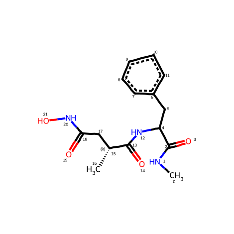 CNC(=O)C(Cc1ccccc1)NC(=O)[C@H](C)CC(=O)NO